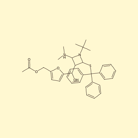 CC(=O)OCc1ccc(C(O)C2C(SC(c3ccccc3)(c3ccccc3)c3ccccc3)N(C(C)(C)C)C2[SiH](C)C)o1